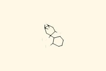 CC1CCCCC1C1(C)CC23OC2(CC1C)O3